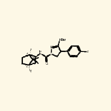 CCCCC1=NN(C(=O)N[C@H]2C[C@H]3CC[C@]2(C)C3(C)C)CC1c1ccc(F)cc1